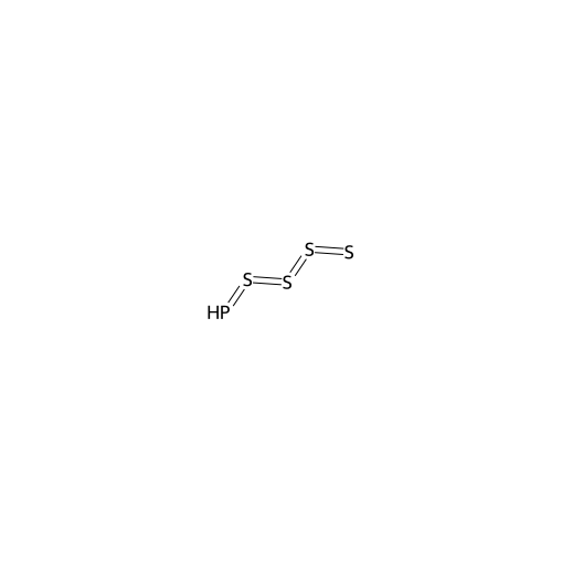 P=S=S=S=S